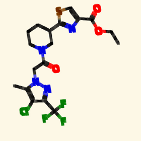 CCOC(=O)c1csc(C2CCCN(C(=O)Cn3nc(C(F)(F)F)c(Cl)c3C)C2)n1